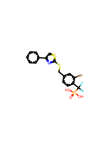 O=P(O)(O)C(F)(F)c1ccc(CSc2nc(-c3ccccc3)cs2)cc1Br